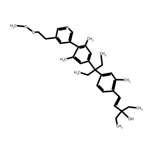 CCC(O)(/C=C/c1ccc(C(CC)(CC)c2cc(C)c(-c3cncc(CCOOC)c3)c(C)c2)cc1C)CC